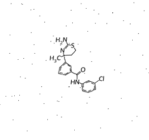 CC1(c2cccc(C(=O)Nc3cccc(Cl)c3)c2)CCSC(N)=N1